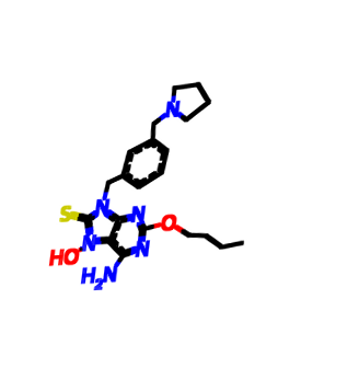 CCCCOc1nc(N)c2c(n1)n(Cc1cccc(CN3CCCC3)c1)c(=S)n2O